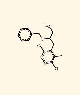 Cc1c(Cl)nnc(Cl)c1C[C@H](CO)OCc1ccccc1